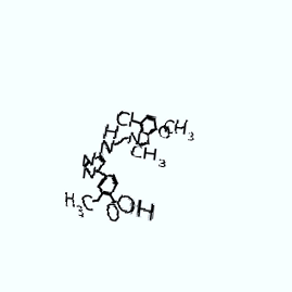 CCc1cc(-c2cc(NCCn3c(C)cc4c(OC)ccc(Cl)c43)ncn2)ccc1C(=O)O